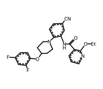 CCOc1ncccc1C(=O)Nc1cc(C#N)ccc1N1CCC(Oc2ccc(F)cc2F)CC1